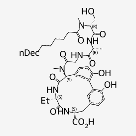 CCCCCCCCCCCCCCCC(=O)N(C)[C@H](CO)C(=O)N[C@H](C)C(=O)NCC(=O)N(C)[C@@H]1C(=O)N[C@@H](CC)C(=O)N[C@H](C(=O)O)Cc2ccc(O)c(c2)-c2cc1ccc2O